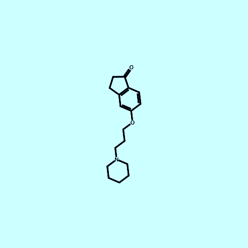 O=C1CCc2cc(OCCCN3CCCCC3)ccc21